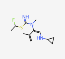 C=C(C)/C(=C\NC1CC1)N(C)C(=N)SC(C)F